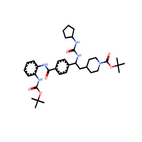 CC(C)(C)OC(=O)Nc1ccccc1NC(=O)c1ccc(C(CC2CCN(C(=O)OC(C)(C)C)CC2)NC(=O)NC2CCCC2)cc1